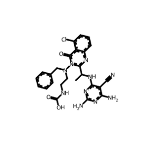 CC(Nc1nc(N)nc(N)c1C#N)c1nc2cccc(Cl)c2c(=O)n1N(CCNC(=O)O)Cc1ccccc1